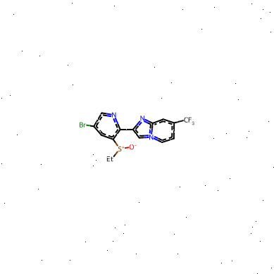 CC[S+]([O-])c1cc(Br)cnc1-c1cn2ccc(C(F)(F)F)cc2n1